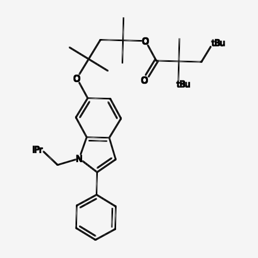 CC(C)Cn1c(-c2ccccc2)cc2ccc(OC(C)(C)CC(C)(C)OC(=O)C(C)(CC(C)(C)C)C(C)(C)C)cc21